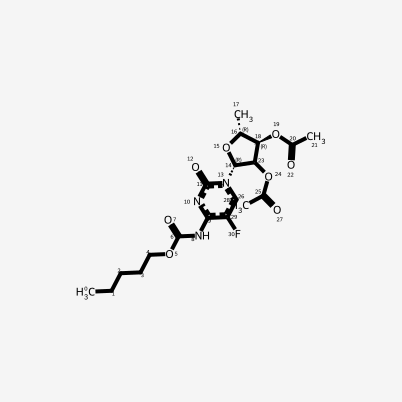 CCCCCOC(=O)Nc1nc(=O)n([C@@H]2O[C@H](C)[C@@H](OC(C)=O)C2OC(C)=O)cc1F